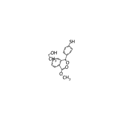 CCO.COC(=O)c1ccccc1C(=O)c1ccc(S)cc1